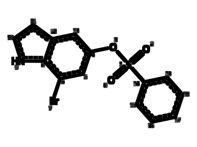 O=S(=O)(Oc1cc(Br)c2[nH]ccc2c1)c1ccccc1